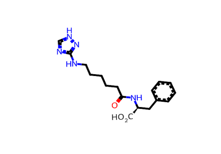 O=C(CCCCCNc1nc[nH]n1)N[C@@H](Cc1ccccc1)C(=O)O